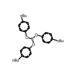 CCCCc1ccc(OB(Oc2ccc(CCCC)cc2)Oc2ccc(CCCC)cc2)cc1